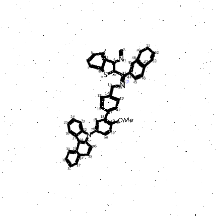 C=NC1c2ccccc2SC1/C(=N\Cc1ccc(-c2cc(-n3c4ccccc4c4c5ccccc5ccc43)ccc2OC)cc1)c1ccc2c(c1)CCC=C2